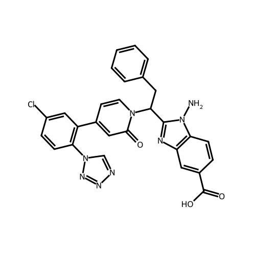 Nn1c(C(Cc2ccccc2)n2ccc(-c3cc(Cl)ccc3-n3cnnn3)cc2=O)nc2cc(C(=O)O)ccc21